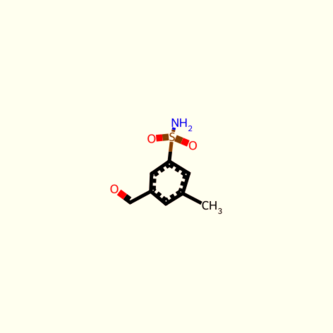 Cc1cc(C=O)cc(S(N)(=O)=O)c1